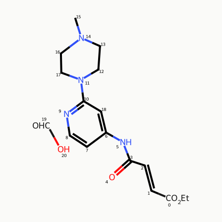 CCOC(=O)/C=C/C(=O)Nc1ccnc(N2CCN(C)CC2)c1.O=CO